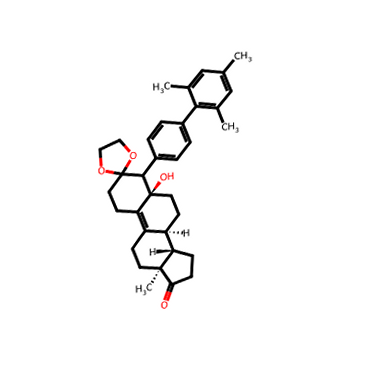 Cc1cc(C)c(-c2ccc(C3C4(CCC5=C6CC[C@]7(C)C(=O)CC[C@H]7[C@@H]6CC[C@]53O)OCCO4)cc2)c(C)c1